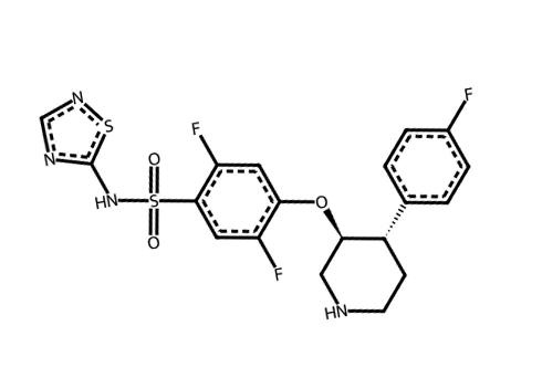 O=S(=O)(Nc1ncns1)c1cc(F)c(O[C@@H]2CNCC[C@H]2c2ccc(F)cc2)cc1F